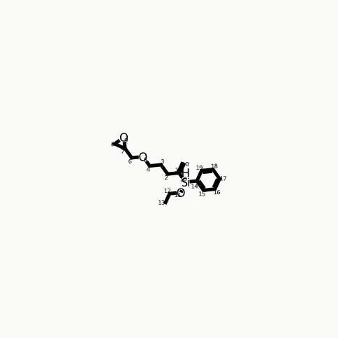 C=C(CCCOCC1CO1)[SiH](OCC)c1ccccc1